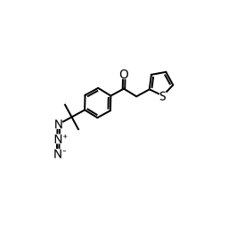 CC(C)(N=[N+]=[N-])c1ccc(C(=O)Cc2cccs2)cc1